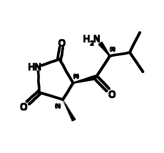 CC(C)[C@H](N)C(=O)[C@@H]1C(=O)NC(=O)[C@H]1C